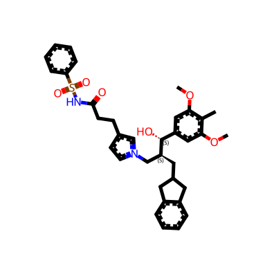 COc1cc([C@@H](O)[C@@H](CC2Cc3ccccc3C2)Cn2ccc(CCC(=O)NS(=O)(=O)c3ccccc3)c2)cc(OC)c1C